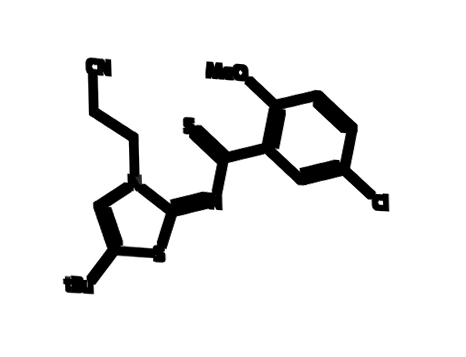 COc1ccc(Cl)cc1C(=S)N=c1sc(C(C)(C)C)cn1CCC#N